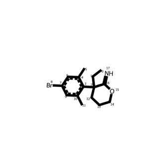 CCC1(c2c(C)cc(Br)cc2C)CCCOC1=N